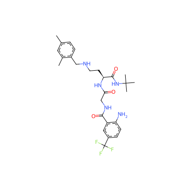 Cc1ccc(CNCC[C@H](NC(=O)CNC(=O)c2cc(C(F)(F)F)ccc2N)C(=O)NC(C)(C)C)c(C)c1